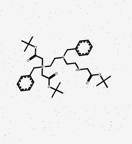 CC(C)(C)OC(=O)CNCCN(CC[N+](CC(=O)OC(C)(C)C)(CC(=O)OC(C)(C)C)Cc1ccccc1)Cc1ccccc1